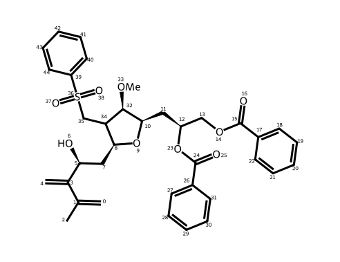 C=C(C)C(=C)[C@@H](O)C[C@@H]1O[C@H](C[C@@H](COC(=O)c2ccccc2)OC(=O)c2ccccc2)[C@H](OC)C1CS(=O)(=O)c1ccccc1